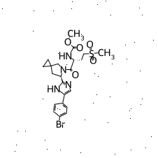 COC(=O)N[C@H](CCS(C)(=O)=O)C(=O)N1CC2(CC2)C[C@@H]1c1ncc(-c2ccc(Br)cc2)[nH]1